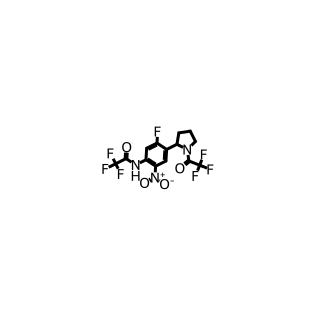 O=C(Nc1cc(F)c(C2CCCN2C(=O)C(F)(F)F)cc1[N+](=O)[O-])C(F)(F)F